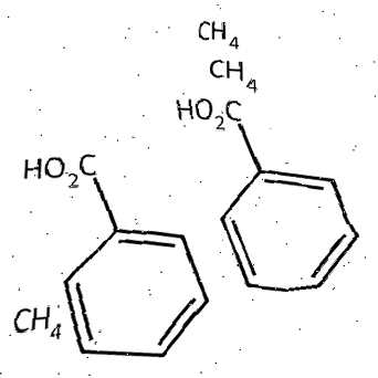 C.C.C.O=C(O)c1ccccc1.O=C(O)c1ccccc1